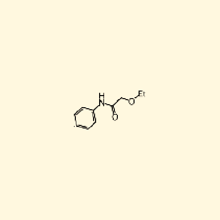 CCOCC(=O)Nc1cc[c]cc1